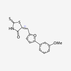 COc1cccc(-c2ccc(/C=C3/SC(=S)NC3=O)o2)c1